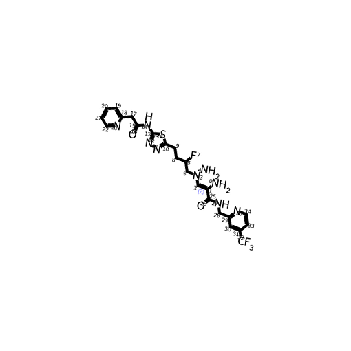 N/C(=C\N(N)CC(F)CCc1nnc(NC(=O)Cc2ccccn2)s1)C(=O)NCc1cc(C(F)(F)F)ccn1